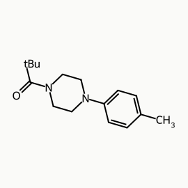 Cc1ccc(N2CCN(C(=O)C(C)(C)C)CC2)cc1